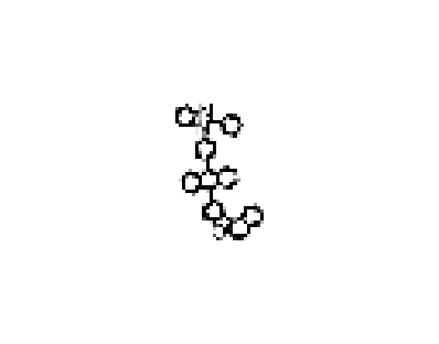 c1ccc(-c2nc3ccccc3n2-c2ccc(-c3c4ccccc4c(-c4ccc5oc6ccc7ccccc7c6c5c4)c4ccccc34)cc2)cc1